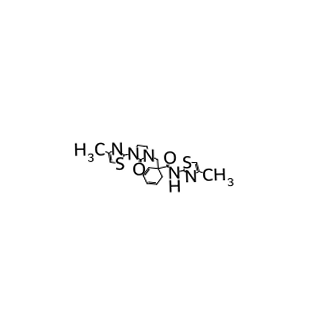 Cc1csc(NC(=O)C2(CN3CCN(c4nc(C)cs4)C3=O)C=CC=CC2)n1